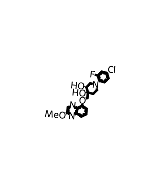 COc1cnc2c(OC[C@]3(O)CCN(c4ccc(Cl)cc4F)C[C@H]3O)cccc2n1